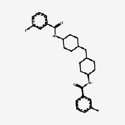 O=C(NC1CCC(CC2CCC(NC(=O)c3cccc(F)c3)CC2)CC1)c1cccc(F)c1